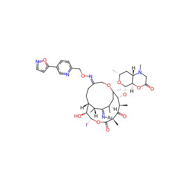 CC(=O)/N=C1\[C@H](C)C[C@@]2(C)OC/C(=N/OCc3ccc(-c4ccno4)cn3)CC[C@@H]([C@H](O)[C@@H](I)OC(=O)[C@H](C)C(=O)[C@H](C)[C@H]2O[C@@H]2O[C@H](C)C[C@H]3[C@H]2OC(=O)CN3C)[C@H]1C